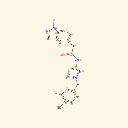 Cc1cc(Cn2ncc(NC(=O)Cc3ccc4c(cnn4C)c3)n2)ccc1C#N